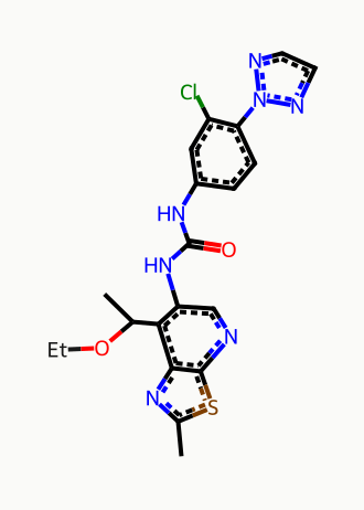 CCOC(C)c1c(NC(=O)Nc2ccc(-n3nccn3)c(Cl)c2)cnc2sc(C)nc12